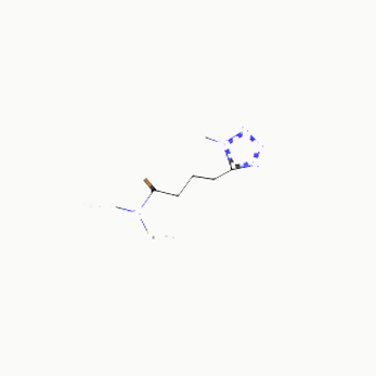 CCCCCCN(CCCCCC)C(=S)CCCc1nnnn1C